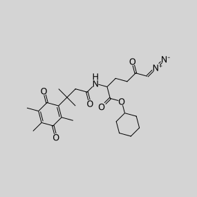 CC1=C(C)C(=O)C(C(C)(C)CC(=O)NC(CCC(=O)C=[N+]=[N-])C(=O)OC2CCCCC2)=C(C)C1=O